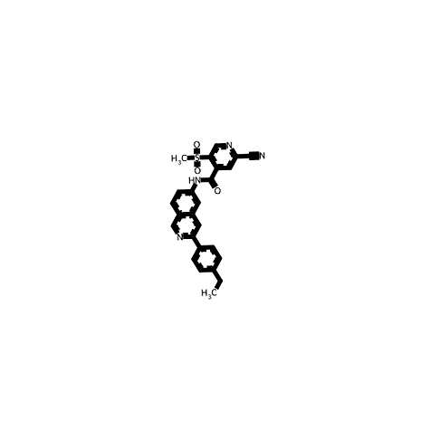 CCc1ccc(-c2cc3cc(NC(=O)c4cc(C#N)ncc4S(C)(=O)=O)ccc3cn2)cc1